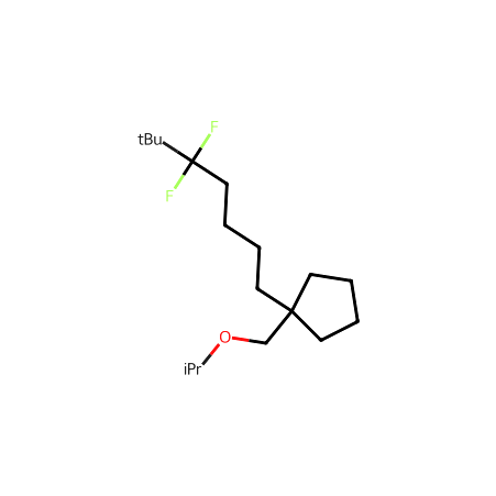 CC(C)OCC1(CCCCC(F)(F)C(C)(C)C)CCCC1